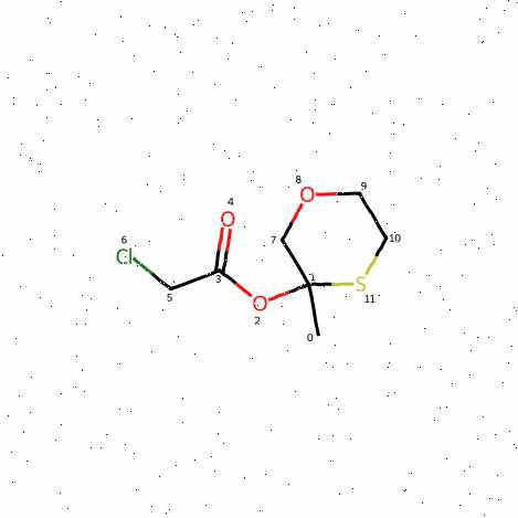 CC1(OC(=O)CCl)COCCS1